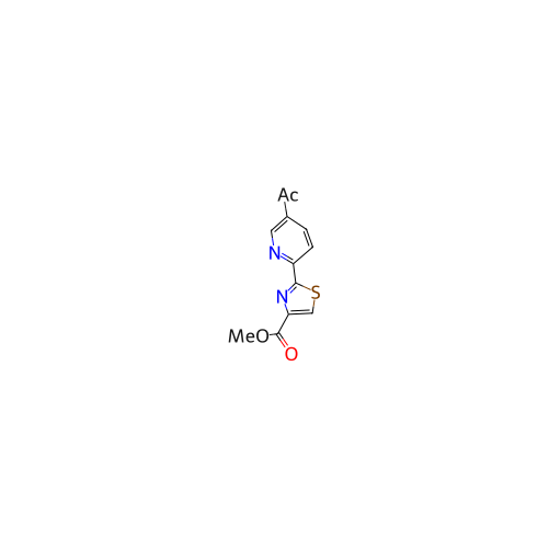 COC(=O)c1csc(-c2ccc(C(C)=O)cn2)n1